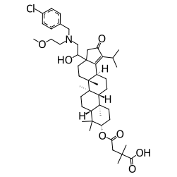 COCCN(Cc1ccc(Cl)cc1)CC(O)C12CC[C@]3(C)[C@H](CC[C@@H]4[C@@]5(C)CC[C@H](OC(=O)CC(C)(C)C(=O)O)C(C)(C)[C@@H]5CC[C@]43C)C1=C(C(C)C)C(=O)C2